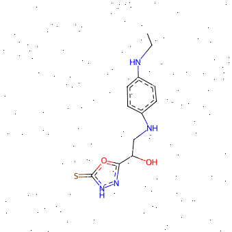 CCNc1ccc(NCC(O)c2n[nH]c(=S)o2)cc1